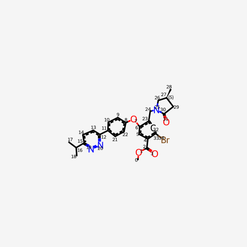 COC(=O)c1cc(Oc2ccc(-c3ccc(C(C)C)nn3)cc2)c(CN2C[C@@H](C)CC2=O)cc1Br